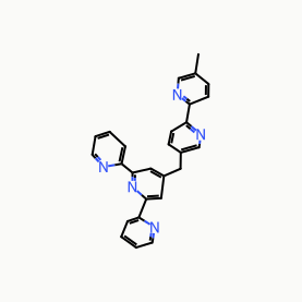 Cc1ccc(-c2ccc(Cc3cc(-c4ccccn4)nc(-c4ccccn4)c3)cn2)nc1